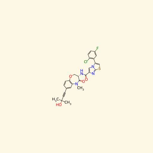 CN1C(=O)[C@@H](NC(=O)c2cn3c(-c4cc(F)ccc4Cl)csc3n2)COc2ccc(C#CC(C)(C)O)cc21